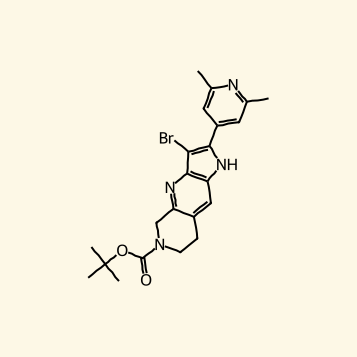 Cc1cc(-c2[nH]c3cc4c(nc3c2Br)CN(C(=O)OC(C)(C)C)CC4)cc(C)n1